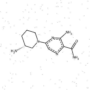 NC(=O)c1ncc(N2CCC[C@@H](N)C2)nc1N